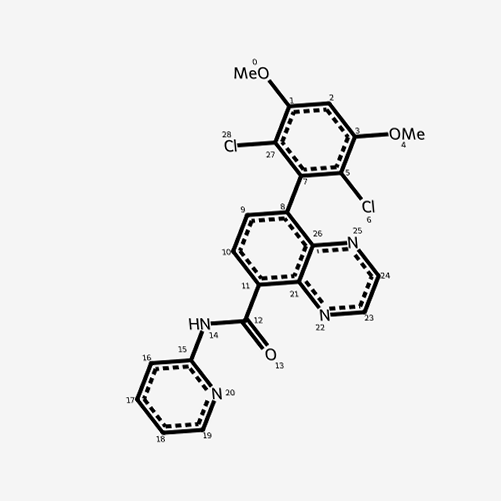 COc1cc(OC)c(Cl)c(-c2ccc(C(=O)Nc3ccccn3)c3nccnc23)c1Cl